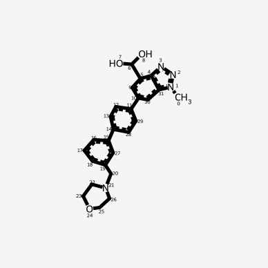 Cn1nnc2c(C(O)O)cc(-c3ccc(-c4cccc(CN5CCOCC5)c4)cc3)cc21